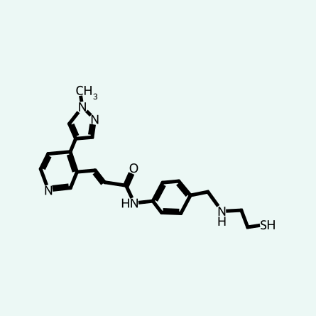 Cn1cc(-c2ccncc2/C=C/C(=O)Nc2ccc(CNCCS)cc2)cn1